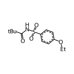 CCOc1ccc(S(=O)(=O)NC(=O)C(C)(C)C)cc1